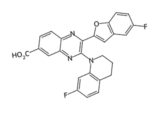 O=C(O)c1ccc2nc(-c3cc4cc(F)ccc4o3)c(N3CCCc4ccc(F)cc43)nc2c1